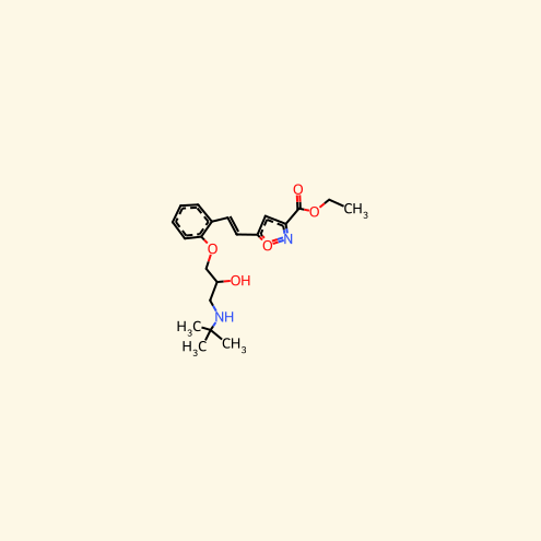 CCOC(=O)c1cc(C=Cc2ccccc2OCC(O)CNC(C)(C)C)on1